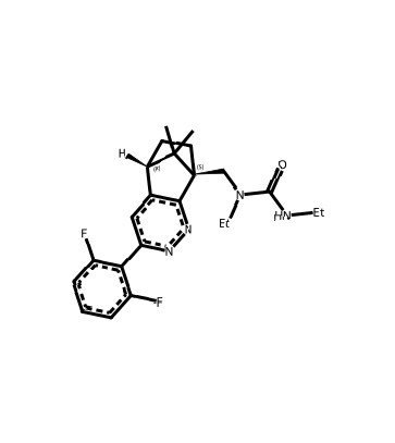 CCNC(=O)N(CC)C[C@@]12CC[C@@H](c3cc(-c4c(F)cccc4F)nnc31)C2(C)C